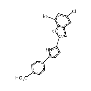 CCc1cc(Cl)cc2cc(-c3ccc(-c4ccc(C(=O)O)cc4)[nH]3)oc12